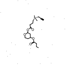 C#CC[N+](C)(C)CCCC(=O)OC1CC(OC(=O)CCC)CCO1